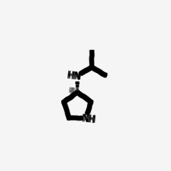 CC(C)N[C@H]1CCNC1